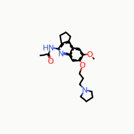 COc1cc2c3c(c(NC(C)=O)nc2cc1OCCCN1CCCC1)CCC3